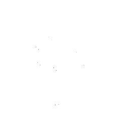 COc1ccc(-n2c(C[C@H](C)N)c(F)c3c(NCc4ccco4)nc(Cl)nc32)cc1